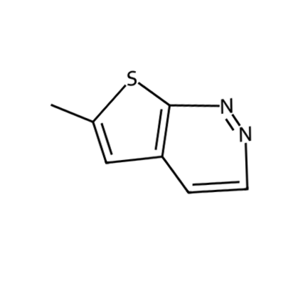 Cc1cc2ccnnc2s1